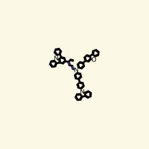 C=C/C(=C\C=C\N(c1ccc(-c2ccc(-n3c4ccccc4c4ccccc43)cc2)cc1)c1ccc(-c2ccc3c(c2)oc2ccccc23)cc1)c1cc2c3ccccc3n3c4ccccc4c(c1)c23